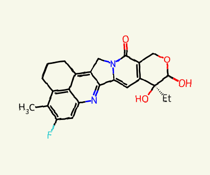 CC[C@]1(O)c2cc3n(c(=O)c2COC1O)Cc1c-3nc2cc(F)c(C)c3c2c1CCC3